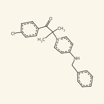 CC(C)(C(=O)c1ccc(Cl)cc1)[n+]1ccc(NCc2ccccc2)cc1